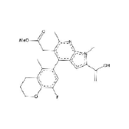 C=C(O)c1cc2c(-c3cc(F)c4c(c3C)CCCO4)c(CC(=O)OC)c(C)nc2n1C